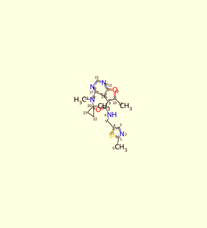 Cc1ncc(CNC(=O)c2c(C)oc3ncnc(N(C)C4(C)CC4)c23)s1